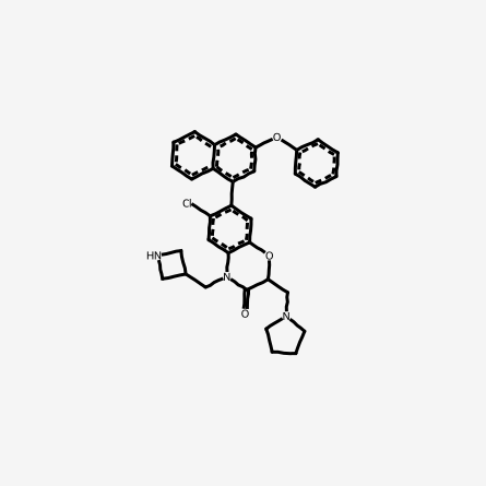 O=C1C(CN2CCCC2)Oc2cc(-c3cc(Oc4ccccc4)cc4ccccc34)c(Cl)cc2N1CC1CNC1